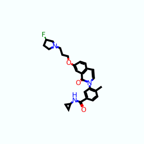 Cc1ccc(C(=O)NC2CC2)cc1-n1ccc2ccc(OCCCN3CC[C@@H](F)C3)cc2c1=O